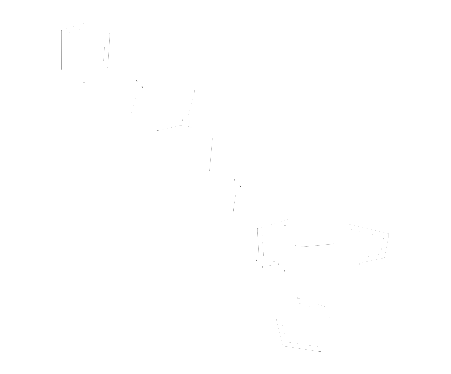 c1ccc(N2CCN(CCNCc3cc(-c4ccco4)n(-c4ccccc4)n3)CC2)cc1